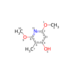 COc1cc(O)c(C)c(OC)n1